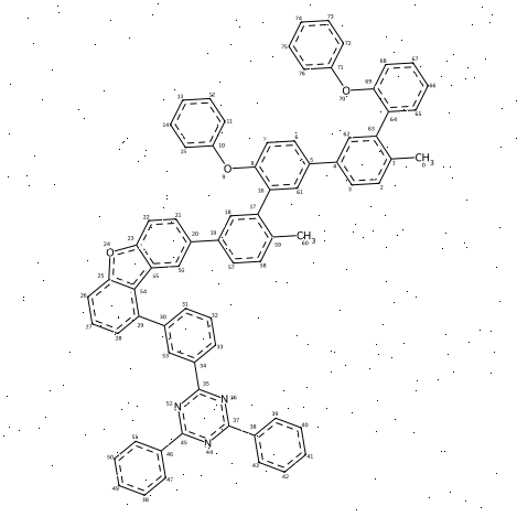 Cc1ccc(-c2ccc(Oc3ccccc3)c(-c3cc(-c4ccc5oc6cccc(-c7cccc(-c8nc(-c9ccccc9)nc(-c9ccccc9)n8)c7)c6c5c4)ccc3C)c2)cc1-c1ccccc1Oc1ccccc1